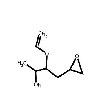 C=COC(CC1CO1)C(C)O